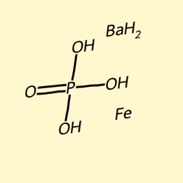 O=P(O)(O)O.[BaH2].[Fe]